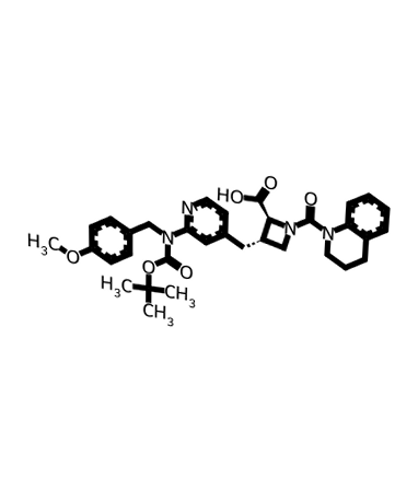 COc1ccc(CN(C(=O)OC(C)(C)C)c2cc(C[C@H]3CN(C(=O)N4CCCc5ccccc54)[C@@H]3C(=O)O)ccn2)cc1